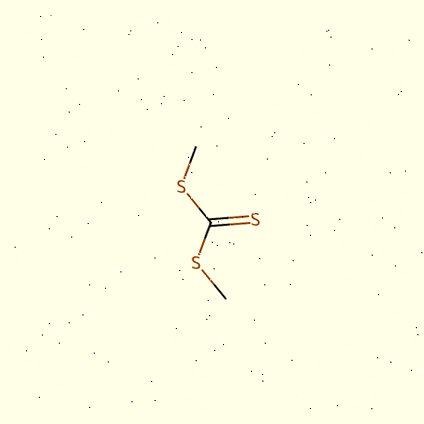 CSC(=S)SC